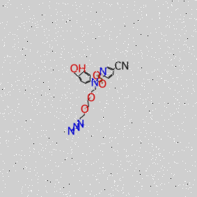 N#Cc1ccc(S(=O)(=O)N(CCOCCOCCN=[N+]=[N-])c2ccc(CO)cc2)nc1